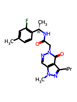 Cc1ccc([C@H](C)NC(=O)Cn2ncc3c(c(C(C)C)nn3C)c2=O)c(F)c1